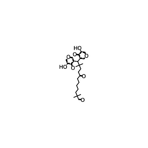 CC(C)(C=O)CCCCCC(=O)CCC(C)(C)C(c1cocc(O)c1=O)c1cocc(O)c1=O